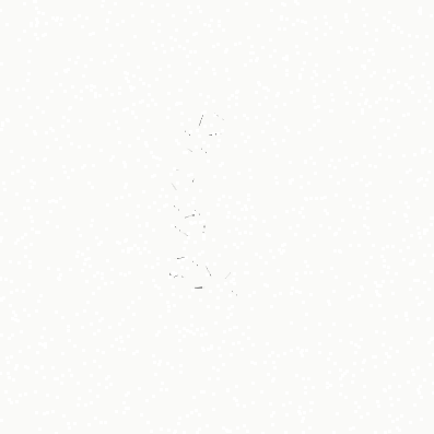 COCCNC(=O)c1ccc2nc(C)c(-c3ccnc(Nc4ccc(C(=O)Nc5ccccc5N)cc4)n3)n2c1